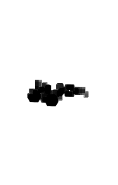 Cc1csc(Nc2ncccc2OCc2cccc(OCC(=O)N3CCN(C)CC3)c2)n1